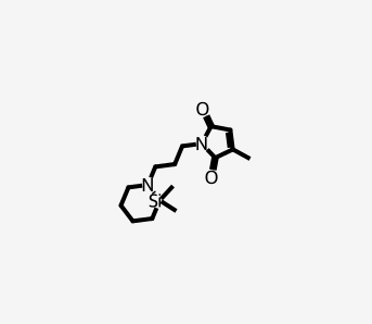 CC1=CC(=O)N(CCCN2CCCC[Si]2(C)C)C1=O